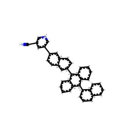 N#Cc1cncc(-c2ccc3cc(-c4c5ccccc5c(-c5cccc6ccccc56)c5ccccc45)ccc3c2)c1